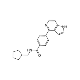 O=C(NCC1CCCC1)c1ccc(-c2nccc3[nH]ccc23)cc1